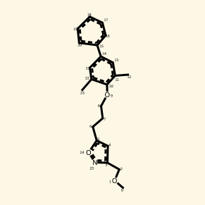 COCc1cc(CCCOc2c(C)cc(-c3ccccc3)cc2C)on1